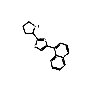 c1ccc2c(-c3csc(C4CCCN4)n3)cccc2c1